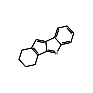 C1=C2C(=Nc3ccccc32)C2=C1CCCC2